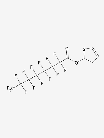 O=C(OC1CC=CS1)C(F)(F)C(F)(F)C(F)(F)C(F)(F)C(F)(F)C(F)(F)C(F)(F)F